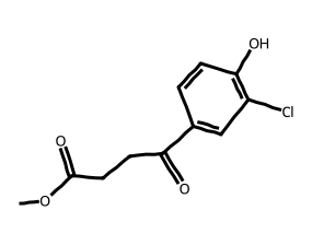 COC(=O)CCC(=O)c1ccc(O)c(Cl)c1